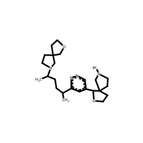 CC(CCC(C)N1CCC2(CCOC2)C1)c1cc(C2OCCC23CCN(C(C)C)C3)cnn1